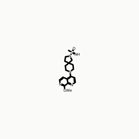 COc1nccc2c(N3CCC4(CC3)CCN(S(C)(=N)=O)C4)ccnc12